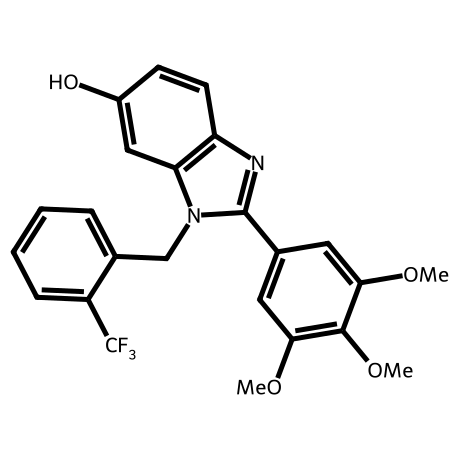 COc1cc(-c2nc3ccc(O)cc3n2Cc2ccccc2C(F)(F)F)cc(OC)c1OC